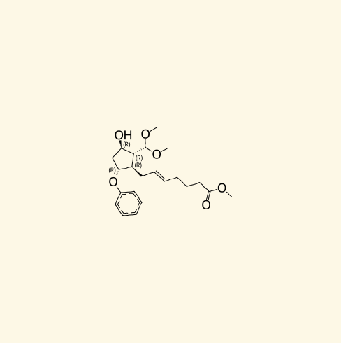 COC(=O)CCCC=CC[C@@H]1[C@@H](C(OC)OC)[C@H](O)C[C@H]1Oc1ccccc1